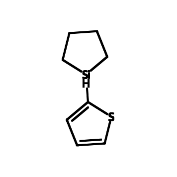 c1csc([SiH]2CCCC2)c1